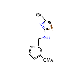 COc1cccc(CNc2nc(C(C)(C)C)cs2)c1